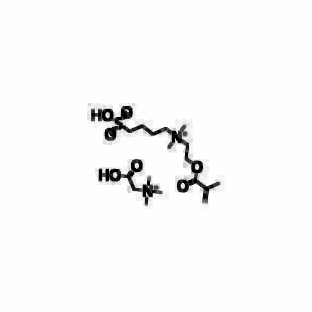 C=C(C)C(=O)OCC[N+](C)(C)CCCCS(=O)(=O)O.C[N+](C)(C)CC(=O)O